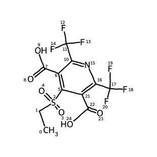 CCS(=O)(=O)c1c(C(=O)O)c(C(F)(F)F)nc(C(F)(F)F)c1C(=O)O